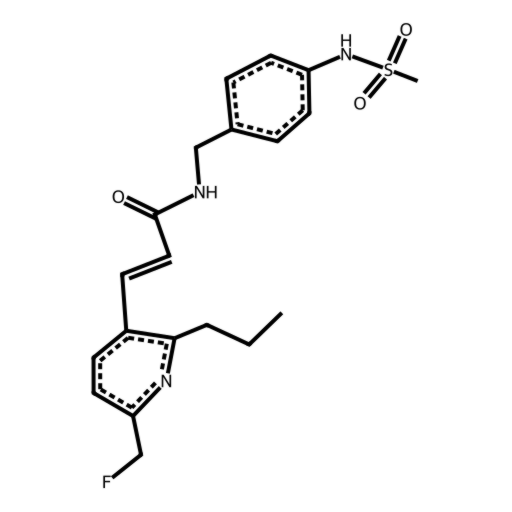 CCCc1nc(CF)ccc1/C=C/C(=O)NCc1ccc(NS(C)(=O)=O)cc1